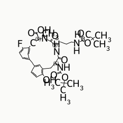 CN1C(=O)[C@H](CCCNC(=O)OC(C)(C)C)NC(=O)[C@@H](NC(=O)OC(C)(C)C)Cc2cc(ccc2O)-c2ccc(F)c(c2)C[C@H]1C(=O)O